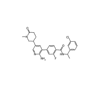 CC(NC(=O)c1ccc(-c2cc(C3CCC(=O)N(C)C3)cnc2N)cc1F)c1cccc(Cl)c1